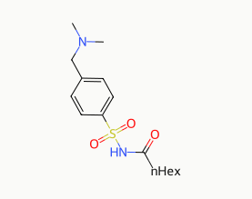 CCCCCCC(=O)NS(=O)(=O)c1ccc(CN(C)C)cc1